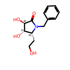 O=C1[C@H](O)[C@@H](O)[C@@H](CCO)N1Cc1ccccc1